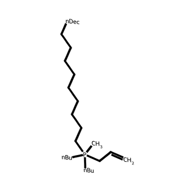 C=CCP(C)(CCCC)(CCCC)CCCCCCCCCCCCCCCCCCC